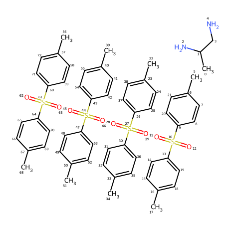 CC(N)CN.Cc1ccc(S(=O)(=O)c2ccc(C)cc2)cc1.Cc1ccc(S(=O)(=O)c2ccc(C)cc2)cc1.Cc1ccc(S(=O)(=O)c2ccc(C)cc2)cc1.Cc1ccc(S(=O)(=O)c2ccc(C)cc2)cc1